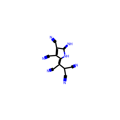 N#CC1=C(C#N)/C(=C(\C#N)C(C#N)C#N)NC1=N